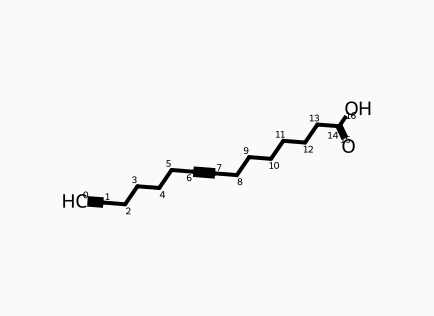 C#CCCCCC#CCCCCCCC(=O)O